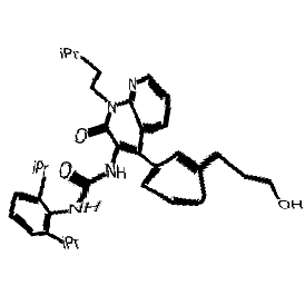 CC(C)CCn1c(=O)c(NC(=O)Nc2c(C(C)C)cccc2C(C)C)c(-c2cccc(CCCO)c2)c2cccnc21